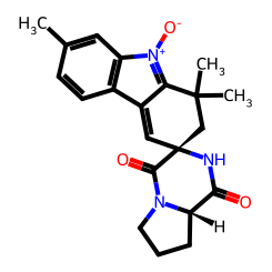 Cc1ccc2c(c1)[N+]([O-])=C1C2=C[C@]2(CC1(C)C)NC(=O)[C@@H]1CCCN1C2=O